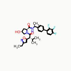 CCc1cc([C@H](C(=O)N2C[C@H](O)C[C@H]2C(=O)N[C@@H](C)c2ccc(-c3ccc(F)c(F)c3F)cc2)C(C)C)on1